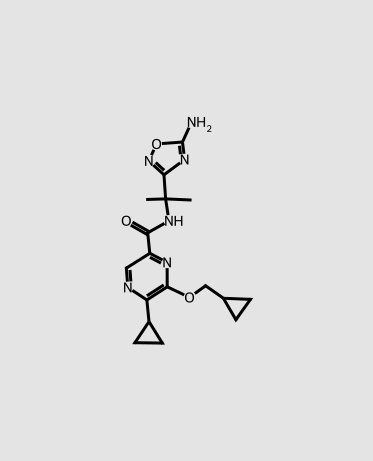 CC(C)(NC(=O)c1cnc(C2CC2)c(OCC2CC2)n1)c1noc(N)n1